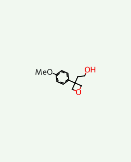 COc1ccc(C2(CCO)COC2)cc1